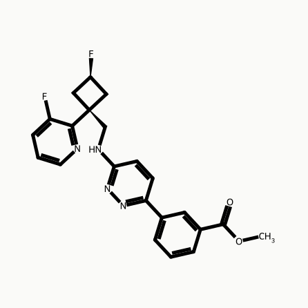 COC(=O)c1cccc(-c2ccc(NC[C@]3(c4ncccc4F)C[C@H](F)C3)nn2)c1